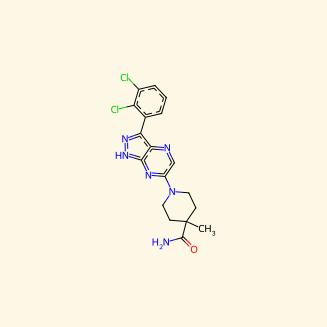 CC1(C(N)=O)CCN(c2cnc3c(-c4cccc(Cl)c4Cl)n[nH]c3n2)CC1